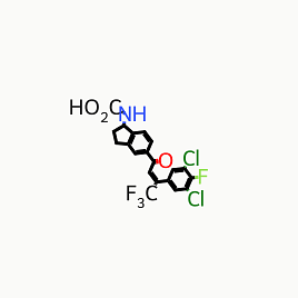 O=C(O)NC1CCc2cc(C(=O)C=C(c3cc(Cl)c(F)c(Cl)c3)C(F)(F)F)ccc21